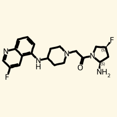 N[C@@H]1C[C@H](F)CN1C(=O)CN1CCC(Nc2cccc3ncc(F)cc23)CC1